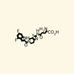 N[C@@H](CCC(=O)Nc1nc2c(s1)CN(C(=O)c1cc3c(F)cc(F)cc3[nH]1)CC2)C(=O)O